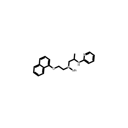 CCCN(CCOc1cccc2ccccc12)CC(C)Nc1ccccn1